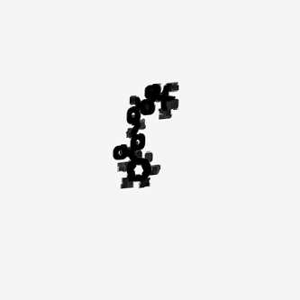 CC(OCCOC(=O)c1ccccc1)OC(=O)C(C)(C)C